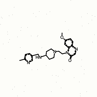 COc1ccc2ncc(=O)n(CCN3CCC(NCc4ccc(C)nc4)CC3)c2c1